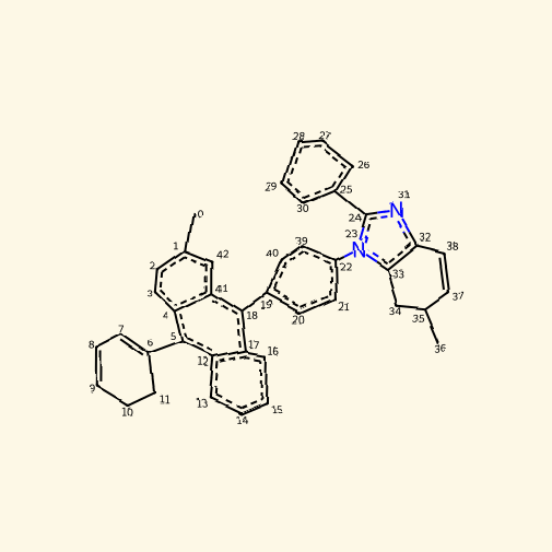 Cc1ccc2c(C3=CC=CCC3)c3ccccc3c(-c3ccc(-n4c(-c5ccccc5)nc5c4CC(C)C=C5)cc3)c2c1